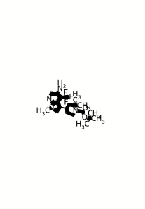 Cn1cc([C@@H]2CCN(C(=O)OC(C)(C)C)C(C)(C)C2)c2c(C(F)(F)F)c(N)cnc21